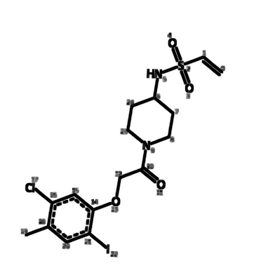 C=CS(=O)(=O)NC1CCN(C(=O)COc2cc(Cl)c(C)cc2I)CC1